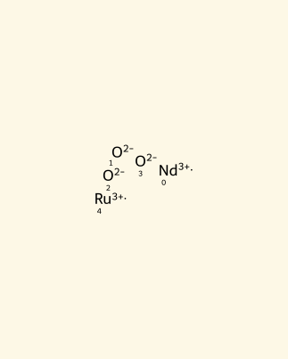 [Nd+3].[O-2].[O-2].[O-2].[Ru+3]